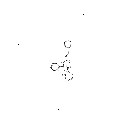 C[C@@](CS1(=O)=NCC=CCN1)(NC(=O)OCc1ccccc1)c1ccccc1F